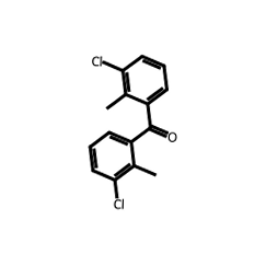 Cc1c(Cl)cccc1C(=O)c1cccc(Cl)c1C